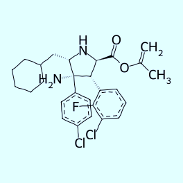 C=C(C)OC(=O)[C@@H]1N[C@@H](CC2CCCCC2)[C@](N)(c2ccc(Cl)cc2)[C@H]1c1cccc(Cl)c1F